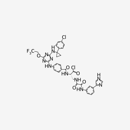 O=C(NC[C@H](NC(=O)c1ccc(Nc2nc(NC3(c4ccc(Cl)cc4)CC3)nc(OCC(F)(F)F)n2)cc1)C(=O)Cl)C(=O)Nc1cccc(-c2c[nH]cn2)c1